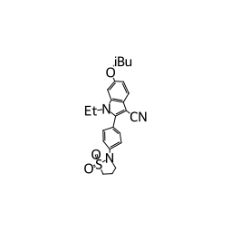 CC[C@@H](C)Oc1ccc2c(C#N)c(-c3ccc(N4CCCS4(=O)=O)cc3)n(CC)c2c1